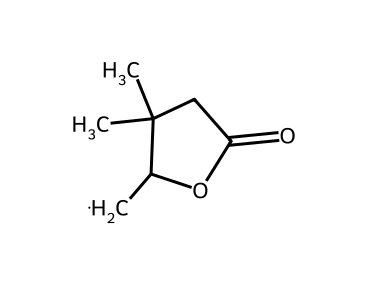 [CH2]C1OC(=O)CC1(C)C